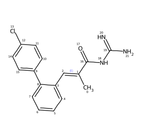 C/C(=C\c1ccccc1-c1ccc(Cl)cc1)C(=O)NC(=N)N